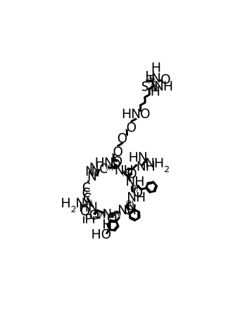 CC(C)C[C@H]1NC(=O)[C@@H](Cc2ccc(O)cc2)NC(=O)[C@@H](Cc2ccccc2)NC(=O)[C@@H](CCc2ccccc2)NC(=O)[C@@H](CCCNC(=N)N)NC(=O)[C@@H](NC(=O)COCCOCCOCCNC(=O)CCCCC2SC[C@@H]3NC(=O)N[C@H]23)Cc2cn(nn2)CCCC[C@@H](C(N)=O)NC1=O